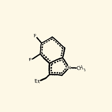 CCc1cn(C)c2ccc(F)c(F)c12